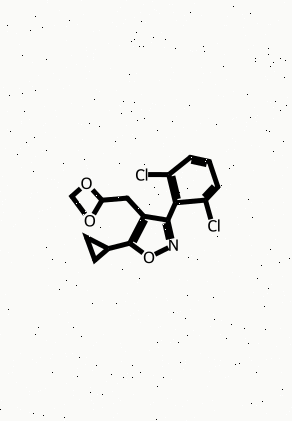 Clc1cccc(Cl)c1-c1noc(C2CC2)c1CC1OCO1